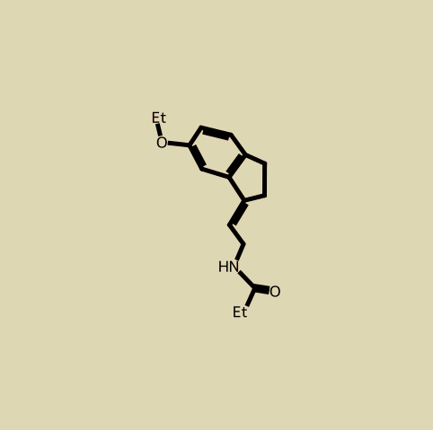 CCOc1ccc2c(c1)/C(=C/CNC(=O)CC)CC2